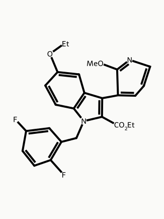 CCOC(=O)c1c(-c2cccnc2OC)c2cc(OCC)ccc2n1Cc1cc(F)ccc1F